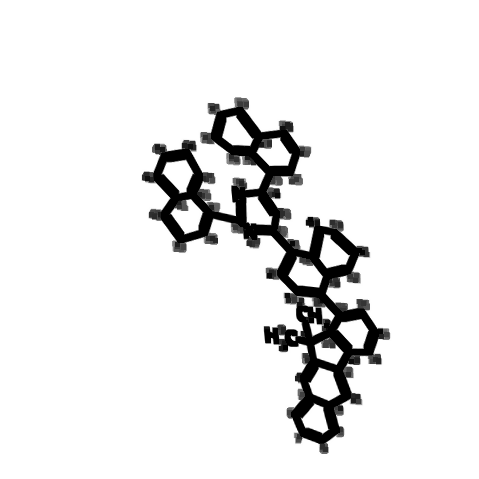 CC1(C)c2cc3ccccc3cc2-c2cccc(-c3ccc(-c4cc(-c5cccc6ccccc56)nc(-c5cccc6ccccc56)n4)c4ccccc34)c21